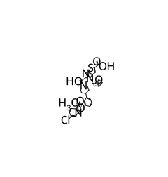 C[C@@]1(c2ccc(Cl)cn2)Oc2cccc(C3CCN(C(O)c4nc5sc(C(=O)O)cc5n4C[C@@H]4CCO4)CC3)c2O1